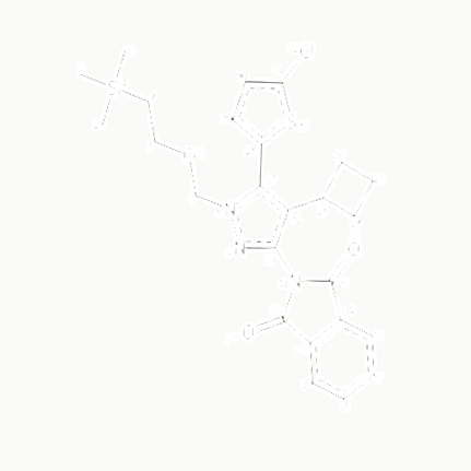 C[Si](C)(C)CCOCn1nc(N2C(=O)c3ccccc3C2=O)c(C2CCC2)c1-c1ccc(Cl)s1